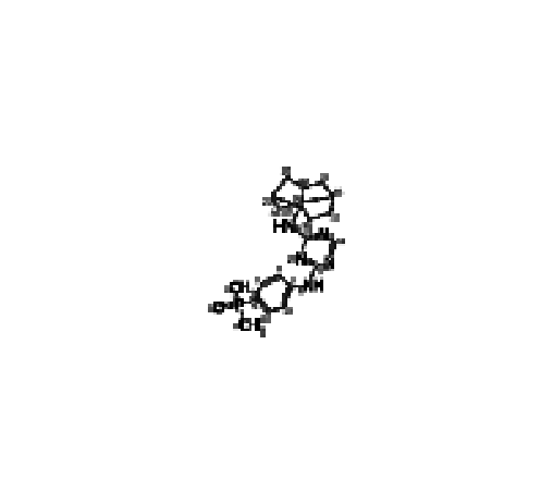 CP(C)(=O)c1ccc(Nc2ncnc(NC34CCC5CC(CC3C5)C4)n2)cc1